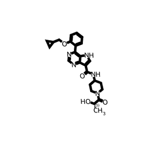 C[C@H](O)C(=O)N1CCC(NC(=O)c2c[nH]c3c(-c4ccccc4OCC4CC4)ncnc23)CC1